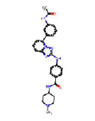 CC(=O)Nc1cccc(-c2cccc3nc(Nc4ccc(C(=O)NC5CCN(C)CC5)cc4)nn23)c1